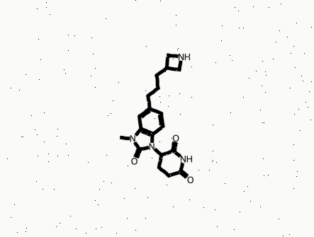 Cn1c(=O)n(C2CCC(=O)NC2=O)c2ccc(CCCC3CNC3)cc21